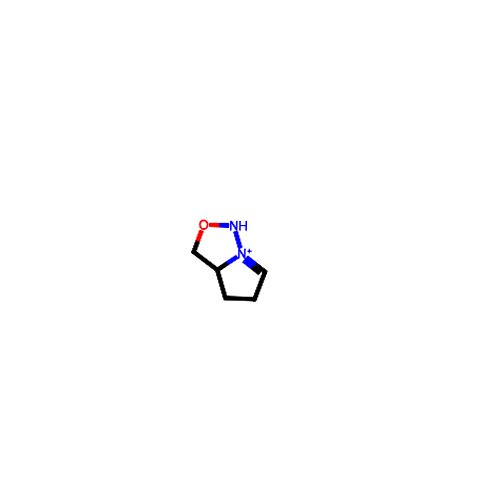 C1=[N+]2NOCC2CC1